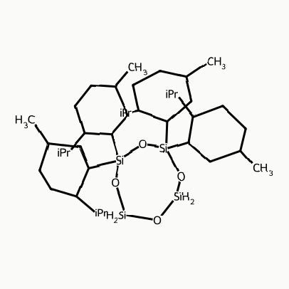 CC1CCC(C(C)C)C([Si]2(C3CC(C)CCC3C(C)C)O[SiH2]O[SiH2]O[Si](C3CC(C)CCC3C(C)C)(C3CC(C)CCC3C(C)C)O2)C1